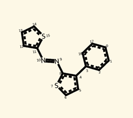 c1ccc(-c2ccsc2N=Nc2cccs2)cc1